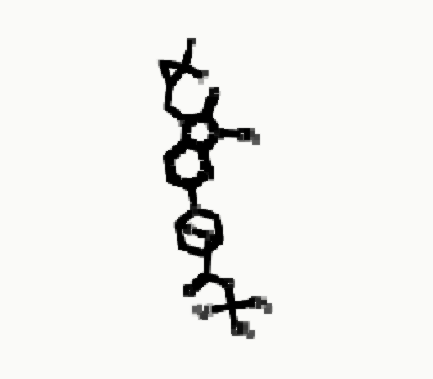 Cn1c(=O)n(CC2CC2(F)F)c2ccc(N3CC4CCC3CN4C(=O)OC(C)(C)C)nc21